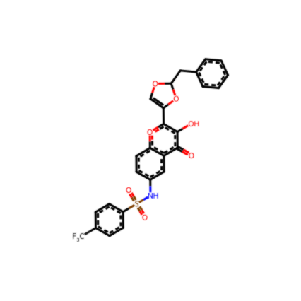 O=c1c(O)c(C2=COC(Cc3ccccc3)O2)oc2ccc(NS(=O)(=O)c3ccc(C(F)(F)F)cc3)cc12